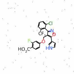 O=C(O)c1ccc(OCc2c(-c3c(Cl)cccc3C(F)(F)F)noc2-c2cc[nH]c2)cc1F